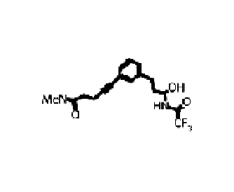 CNC(=O)CCC#Cc1cccc(CCC(O)NC(=O)C(F)(F)F)c1